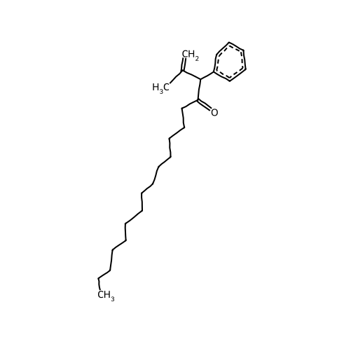 C=C(C)C(C(=O)CCCCCCCCCCCCCC)c1ccccc1